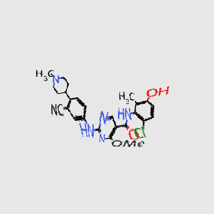 COc1nc(Nc2ccc(C3CCN(C)CC3)c(C#N)c2)ncc1C(=O)Nc1c(Cl)ccc(O)c1C